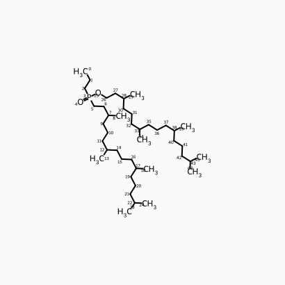 CCCP(=O)(CCC(C)CCCC(C)CCCC(C)CCCC(C)C)OCCC(C)CCCC(C)CCCC(C)CCCC(C)C